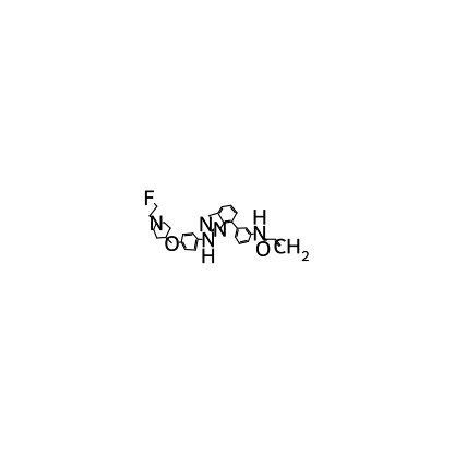 C=CC(=O)Nc1cccc(-c2cccc3cnc(Nc4ccc(OC5CCN(CCF)CC5)cc4)nc23)c1